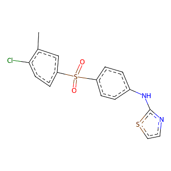 Cc1cc(S(=O)(=O)c2ccc(Nc3nccs3)cc2)ccc1Cl